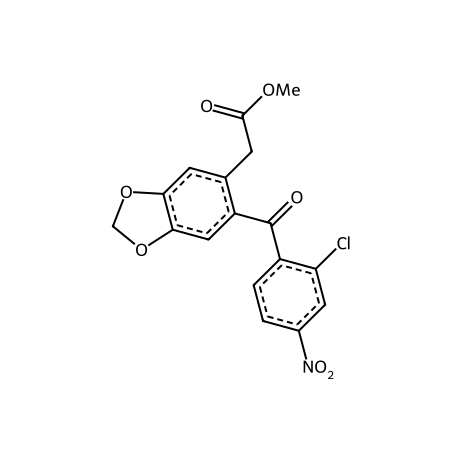 COC(=O)Cc1cc2c(cc1C(=O)c1ccc([N+](=O)[O-])cc1Cl)OCO2